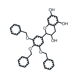 Oc1cc(O)c2c(c1)OC(c1cc(OCc3ccccc3)c(OCc3ccccc3)c(OCc3ccccc3)c1)C(O)C2